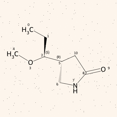 CC[C@H](OC)[C@H]1CNC(=O)C1